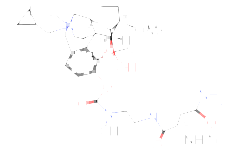 CO[C@]12CC[C@@]3(CC1C(C)(C)O)C1Cc4ccc(OC(=O)N(C)CCNC(=O)[C@H](CC(N)=O)NC(C)=O)c5c4[C@@]3(CC[N+]1(C)CC1CC1)[C@H]2O5